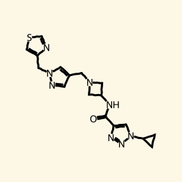 O=C(NC1CN(Cc2cnn(Cc3cscn3)c2)C1)c1cn(C2CC2)nn1